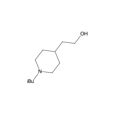 CCC(C)N1CCC(CCO)CC1